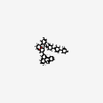 c1ccc(-c2ccc(-c3ccc(N(c4cccc(-c5cc6c7c(cccc7c5)Oc5ccccc5-6)c4)c4ccccc4-c4ccccc4)cc3)cc2)cc1